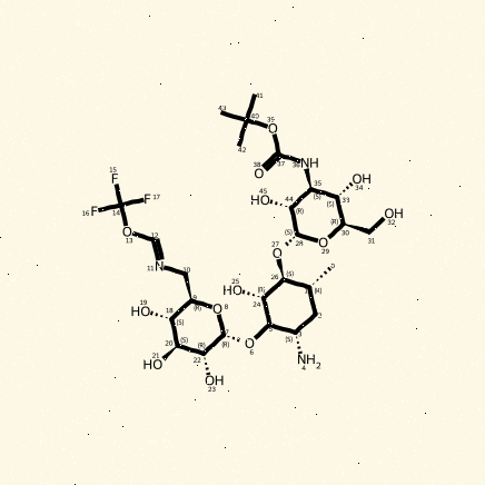 C[C@@H]1C[C@H](N)C(O[C@H]2O[C@H](CN=COC(F)(F)F)[C@@H](O)[C@H](O)[C@H]2O)[C@H](O)[C@H]1O[C@H]1O[C@H](CO)[C@@H](O)[C@H](NC(=O)OC(C)(C)C)[C@H]1O